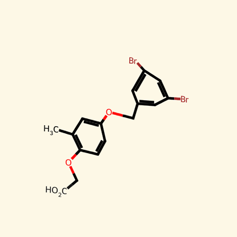 Cc1cc(OCc2cc(Br)cc(Br)c2)ccc1OCC(=O)O